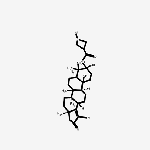 CC(C)C1=C2[C@H]3CC[C@@H]4[C@@]5(C)CC[C@@](O)(NC(=O)C6CN(C(C)C)C6)C(C)(C)[C@@H]5CC[C@@]4(C)[C@]3(C)CC[C@@]2(C)CC1=O